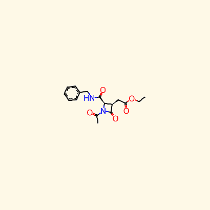 CCOC(=O)C[C@H]1C(=O)N(C(C)=O)[C@H]1C(=O)NCc1ccccc1